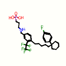 O=P(O)(O)CCCNCc1ccc(CCCCCC2(c3ccc(F)cc3)CCCCC2)c(C(F)(F)C(F)(F)F)c1